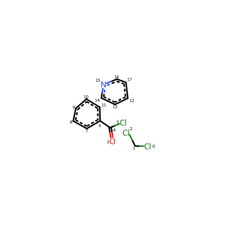 ClCCl.O=C(Cl)c1ccccc1.c1ccncc1